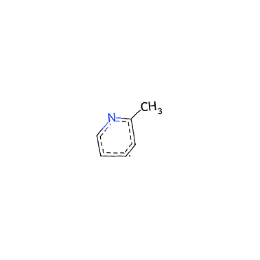 Cc1c[c]ccn1